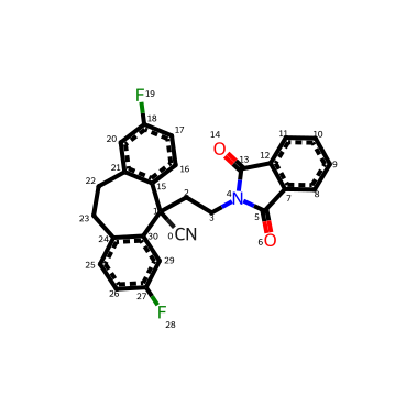 N#CC1(CCN2C(=O)c3ccccc3C2=O)c2ccc(F)cc2CCc2ccc(F)cc21